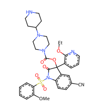 CCOc1ncccc1C1(OC(=O)N2CCN(C3CCNCC3)CC2)C(=O)N(S(=O)(=O)c2ccccc2OC)c2ccc(C#N)cc21